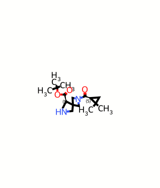 CC(C)(C)OC(=O)[C@@H]1CNCC12CN(C(=O)[C@H]1CC1(C)C)C2